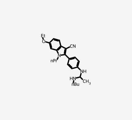 CCCCNC(C)Nc1ccc(-c2c(C#N)c3ccc(OCC)cc3n2CCC)cc1